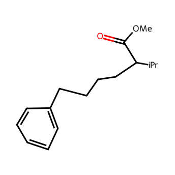 COC(=O)C(CCCCc1ccccc1)C(C)C